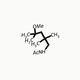 COC(C)(C)CC(C)(C)CNC(C)=O